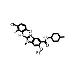 CCOc1cc2c(cc1C(=O)NC1CCC(C)CC1)nc(Nc1c(Cl)ccc(Cl)c1F)n2C